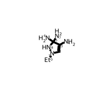 CCN1C=C(N)C(N)(N)N1